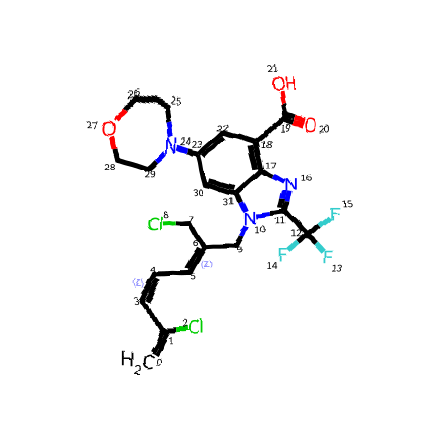 C=C(Cl)/C=C\C=C(/CCl)Cn1c(C(F)(F)F)nc2c(C(=O)O)cc(N3CCOCC3)cc21